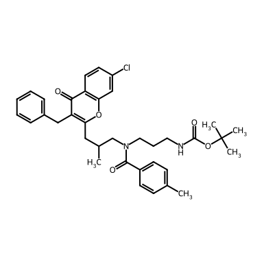 Cc1ccc(C(=O)N(CCCNC(=O)OC(C)(C)C)CC(C)Cc2oc3cc(Cl)ccc3c(=O)c2Cc2ccccc2)cc1